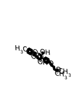 CO[C@H](C)CCCOc1ccc([C@H]2[C@H](CO)CN(S(=O)(=O)c3ccc(C)cc3)C[C@@H]2O)cc1